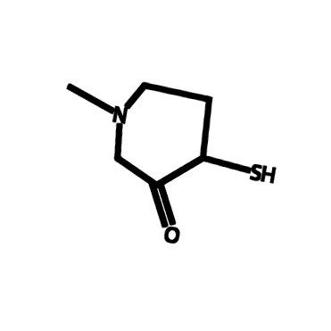 CN1CCC(S)C(=O)C1